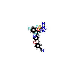 N#Cc1ccc(Oc2ccc(C(F)(F)C(O)(Cn3nn[nH]c3=S)c3ccc(F)cc3F)nc2)cc1